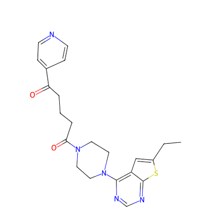 CCc1cc2c(N3CCN(C(=O)CCCC(=O)c4ccncc4)CC3)ncnc2s1